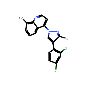 CC(=O)c1nn(-c2ccnc3c(C(F)(F)F)cccc23)cc1-c1ccc(Cl)cc1Cl